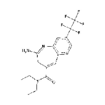 CCN(CC)C(=O)C1=Cc2ccc(C(F)(F)C(F)(F)F)cc2N=C(N)C1